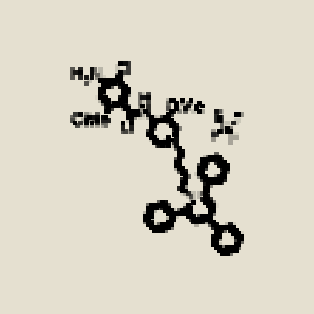 COc1cc(N)c(Cl)cc1C(=O)NC1CCN(CCCC[n+]2c(-c3ccccc3)cc(-c3ccccc3)cc2-c2ccccc2)CC1OC.F[B-](F)(F)F